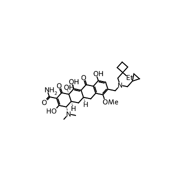 CCC1(CN(Cc2cc(O)c3c(c2OC)C[C@H]2C[C@H]4[C@H](N(C)C)C(O)=C(C(N)=O)C(=O)[C@@]4(O)C(O)=C2C3=O)CC2CC2)CCC1